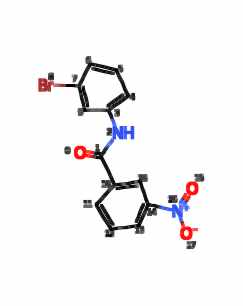 O=C(Nc1cccc(Br)c1)c1cccc([N+](=O)[O-])c1